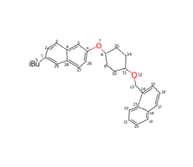 CCC(C)c1ccc2cc(OC3CCC(OCc4cccc5ccccc45)CC3)ccc2c1